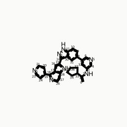 C=C(Nc1cncc(-c2ccc3[nH]nc(-c4cc5c(-c6ccncc6)nccc5[nH]4)c3c2)c1)C1CCCC1